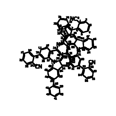 N#Cc1ccccc1-c1cccc(-c2nc(-c3ccc(-c4ccccc4C#N)cc3-n3c4ccccc4c4cc(-c5ccccc5)ccc43)nc(-c3ccc(-c4ccccc4C#N)cc3-n3c4ccccc4c4cc(-c5ccccc5)ccc43)n2)c1